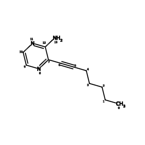 CCCCCC#Cc1nccnc1N